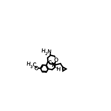 COc1ccc2c(c1)[C@]13CCN(CC4CC4)[C@H](C2)C(C1)OCC(N)C3